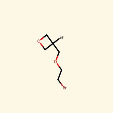 CCC1(COCCBr)COC1